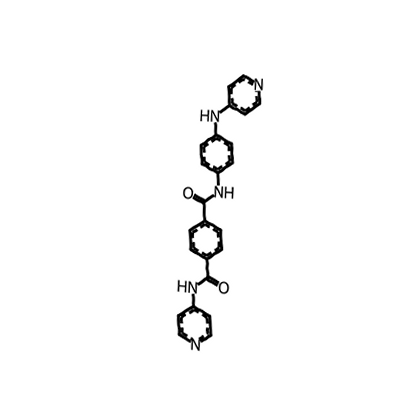 O=C(Nc1ccncc1)c1ccc(C(=O)Nc2ccc(Nc3ccncc3)cc2)cc1